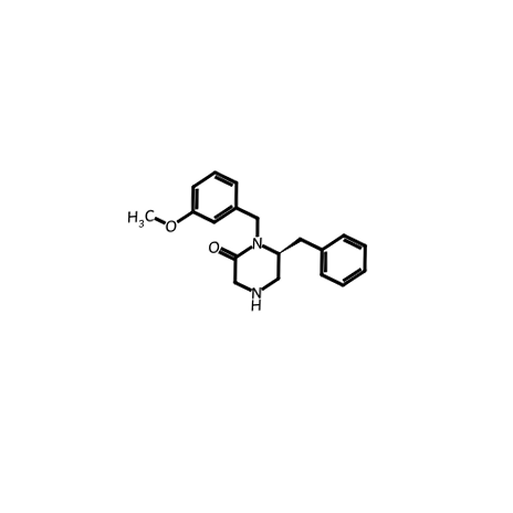 COc1cccc(CN2C(=O)CNC[C@@H]2Cc2ccccc2)c1